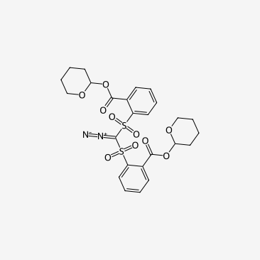 [N-]=[N+]=C(S(=O)(=O)c1ccccc1C(=O)OC1CCCCO1)S(=O)(=O)c1ccccc1C(=O)OC1CCCCO1